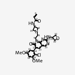 C=CC(=O)NC1CN(CCn2c(=O)c(-c3cc(OC)cc(OC)c3Cl)cc3cnc(NC4COC4)nc32)C1